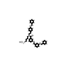 O=C(O)CCCCN(CCc1ccc(OCc2ccccc2)cc1)C(=O)c1cccc(OCc2cccc(OCc3ccccc3)c2)c1